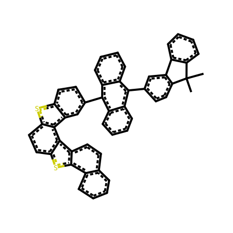 CC1(C)c2ccccc2-c2cc(-c3c4ccccc4c(-c4ccc5sc6ccc7sc8c9ccccc9ccc8c7c6c5c4)c4ccccc34)ccc21